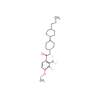 CCCC1CCC(C2CCC(CC(=O)c3ccc(OCC)c(F)c3C(F)F)CC2)CC1